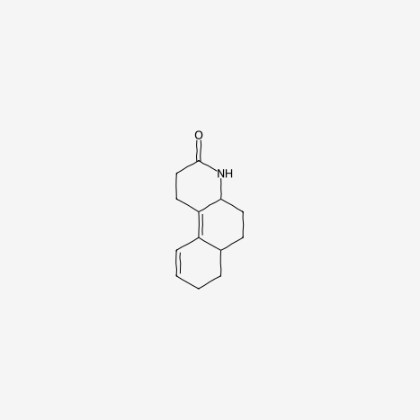 O=C1CCC2=C3C=CCCC3CCC2N1